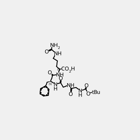 CC(C)(C)OC(=O)NCC(=O)NCC(=O)N[C@@H](Cc1ccccc1)C(=O)N[C@@H](CCCNC(N)=O)C(=O)O